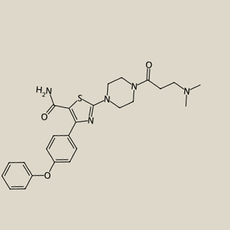 CN(C)CCC(=O)N1CCN(c2nc(-c3ccc(Oc4ccccc4)cc3)c(C(N)=O)s2)CC1